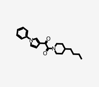 CCCCC1CCN(C(=O)C(=O)c2ccn(-c3ccccc3)c2)CC1